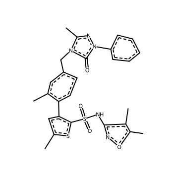 Cc1cc(-c2ccc(Cn3c(C)nn(-c4ccccc4)c3=O)cc2C)c(S(=O)(=O)Nc2noc(C)c2C)s1